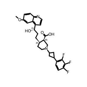 COc1ccc2nccc([C@@H](O)CC[C@@H]3CCN(C4CC(c5ccc(F)c(F)c5F)C4)C[C@@H]3C(=O)O)c2c1